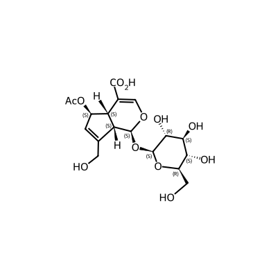 CC(=O)O[C@@H]1C=C(CO)[C@H]2[C@H](O[C@@H]3O[C@H](CO)[C@@H](O)[C@H](O)[C@H]3O)OC=C(C(=O)O)[C@H]21